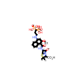 CCOc1cc(NCCC(P(=O)(O)O)P(=O)(O)O)c2ccccc2c1C(=O)NC1C(=O)N2C1SC(C)(C)C2C(=O)O